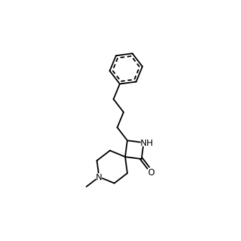 CN1CCC2(CC1)C(=O)NC2CCCc1ccccc1